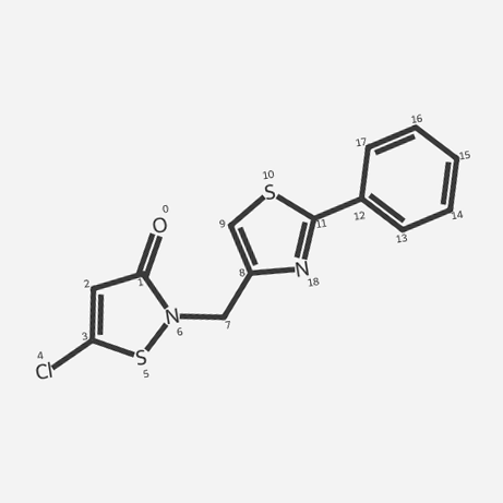 O=c1cc(Cl)sn1Cc1csc(-c2ccccc2)n1